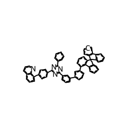 c1ccc(-c2nc(-c3ccc(-c4cccc5cccnc45)cc3)nc(-c3cccc(-c4cccc(-c5cccc6c5-c5ccccc5C65c6ccccc6-c6ccccc65)c4)c3)n2)cc1